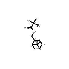 CC(F)(F)C(=O)OCC1CCC2CC1C2(C)C